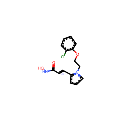 O=C(/C=C/c1cccn1CCOc1ccccc1Cl)NO